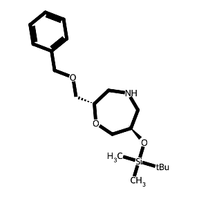 CC(C)(C)[Si](C)(C)O[C@@H]1CNC[C@@H](COCc2ccccc2)OC1